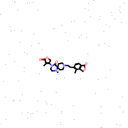 CC1=C(N2CCN(C)C3(CCN(CCc4ccc5c(c4C)COC5=O)CC3)C2=O)COC1=O